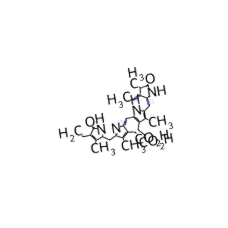 C=CC1=C(C)C(CC2=N/C(=C/c3[nH]c(/C=C4/NC(=O)C(C)/C4=C\C)c(C)c3CCC(=O)O)C(CC(=O)O)=C2C)NC1=O